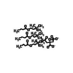 CCCC(=O)OCC[N+](C)(C)C.CCCC(=O)OCC[N+](C)(C)C.CCCC(=O)OCC[N+](C)(C)C.O=C([O-])CC(O)(CC(=O)[O-])C(=O)[O-]